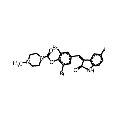 CN1CCN(C(=O)Oc2c(Br)cc(/C=C3\C(=O)Nc4ccc(I)cc43)cc2Br)CC1